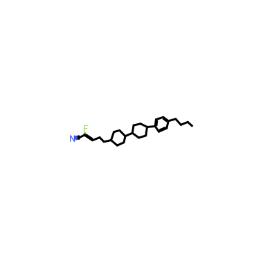 CCCCc1ccc(C2CCC(C3CCC(CCC=C(F)C#N)CC3)CC2)cc1